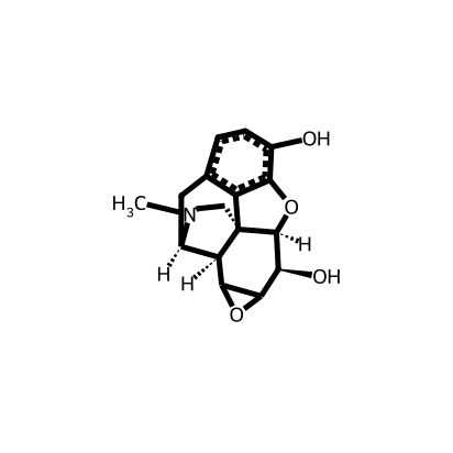 CN1CC[C@]23c4c5ccc(O)c4O[C@H]2[C@@H](O)C2OC2[C@H]3[C@H]1C5